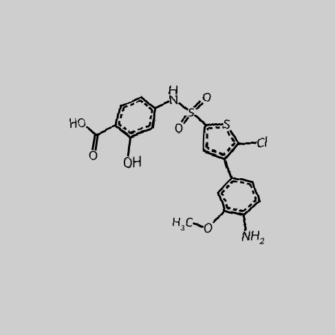 COc1cc(-c2cc(S(=O)(=O)Nc3ccc(C(=O)O)c(O)c3)sc2Cl)ccc1N